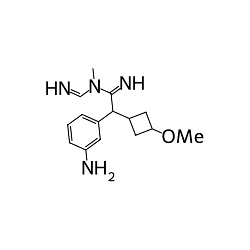 COC1CC(C(C(=N)N(C)C=N)c2cccc(N)c2)C1